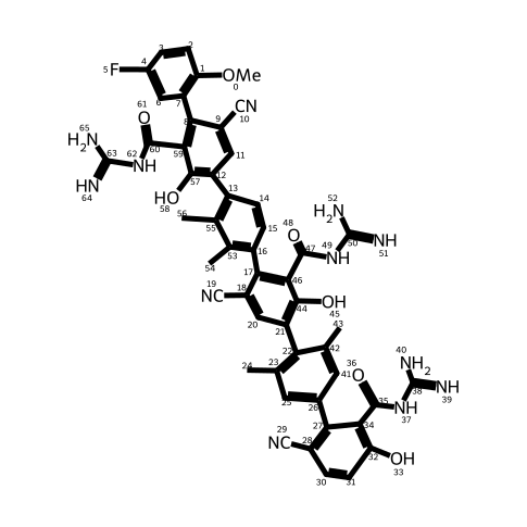 COc1ccc(F)cc1-c1c(C#N)cc(-c2ccc(-c3c(C#N)cc(-c4c(C)cc(-c5c(C#N)ccc(O)c5C(=O)NC(=N)N)cc4C)c(O)c3C(=O)NC(=N)N)c(C)c2C)c(O)c1C(=O)NC(=N)N